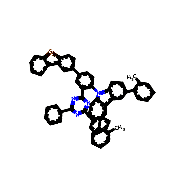 Cc1ccccc1-c1ccc2c(c1)c1cc(-c3ccccc3C)ccc1n2-c1ccc(-c2ccc3sc4ccccc4c3c2)cc1-c1nc(-c2ccccc2)nc(-c2ccccc2)n1